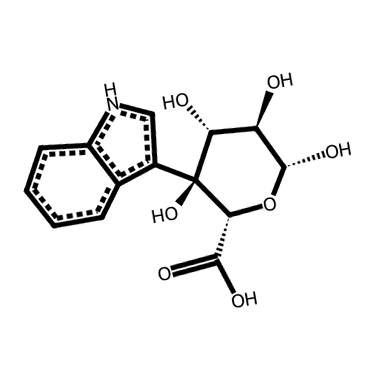 O=C(O)[C@H]1O[C@@H](O)[C@H](O)[C@@H](O)[C@@]1(O)c1c[nH]c2ccccc12